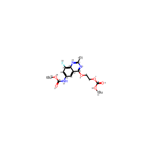 CCc1nc(OCCOC(=O)OC(C)(C)C)c2cc(NC(=O)OC(C)(C)C)cc(F)c2n1